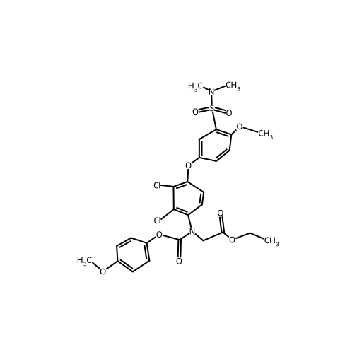 CCOC(=O)CN(C(=O)Oc1ccc(OC)cc1)c1ccc(Oc2ccc(OC)c(S(=O)(=O)N(C)C)c2)c(Cl)c1Cl